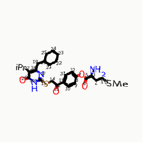 CSCCC(N)C(=O)Oc1ccc(C(=O)CSc2nc(CC3CCCCC3)c(C(C)C)c(=O)[nH]2)cc1